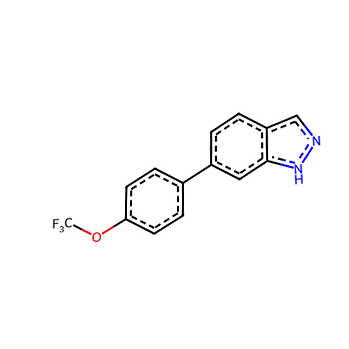 FC(F)(F)Oc1ccc(-c2ccc3cn[nH]c3c2)cc1